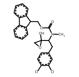 CN(C(=O)OCC1c2ccccc2-c2ccccc21)C(Cc1ccc(Cl)c(Cl)c1)C1(O)CO1